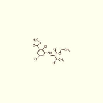 CCOC(=O)C(=CNc1cc(Cl)cc(C(=O)OC)c1Cl)C(C)=O